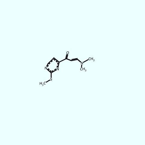 CSc1nccc(C(=O)C=CN(C)C)n1